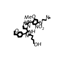 COc1cc(N(C)CCN(C)C)c([N+](=O)[O-])cc1Nc1nccc(-c2[nH]c(CCCCO)nc2-c2ccc3ccoc3c2)n1